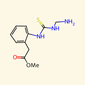 COC(=O)Cc1ccccc1NC(=S)NCN